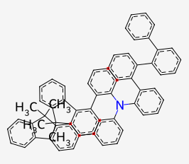 CC1(C)c2ccccc2-c2ccc(-c3cccc(N(c4ccccc4-c4ccccc4-c4ccccc4-c4ccccc4)c4ccccc4-c4cccc5c4-c4ccccc4C5(C)C)c3)cc21